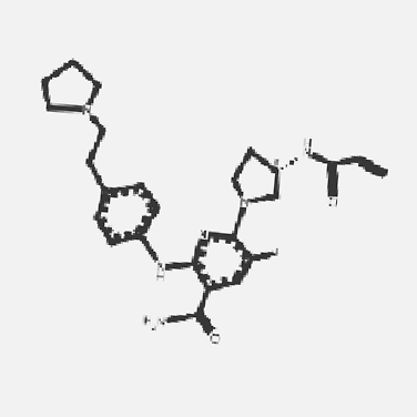 C=CC(=O)N[C@H]1CCN(c2nc(Nc3ccc(CCN4CCCC4)cc3)c(C(N)=O)cc2F)C1